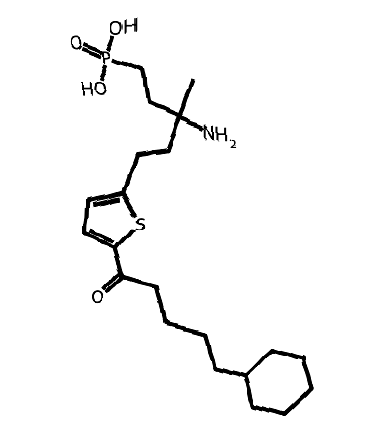 CC(N)(CCc1ccc(C(=O)CCCCC2CCCCC2)s1)CCP(=O)(O)O